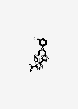 COCCN(Cc1ncc(-c2nnc(C(F)F)o2)s1)c1cccc(Cl)c1